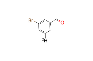 [2H]c1cc(Br)cc(C=O)c1